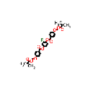 C=C(C)C(=O)OCOc1ccc(C(=O)Oc2ccc(OC(=O)c3ccc(OCOC(=O)C(=C)C)cc3)c(F)c2)cc1